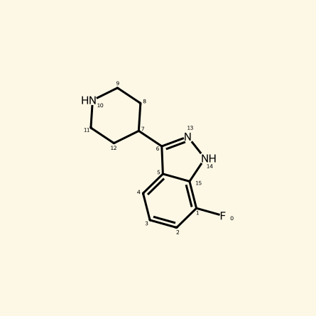 Fc1cccc2c(C3CCNCC3)n[nH]c12